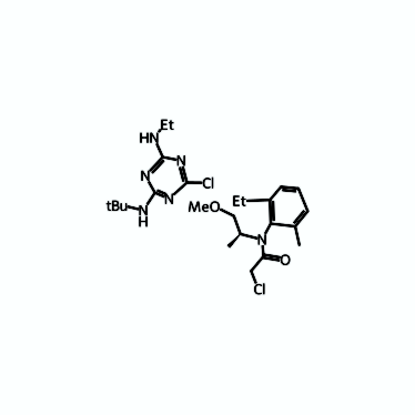 CCNc1nc(Cl)nc(NC(C)(C)C)n1.CCc1cccc(C)c1N(C(=O)CCl)[C@@H](C)COC